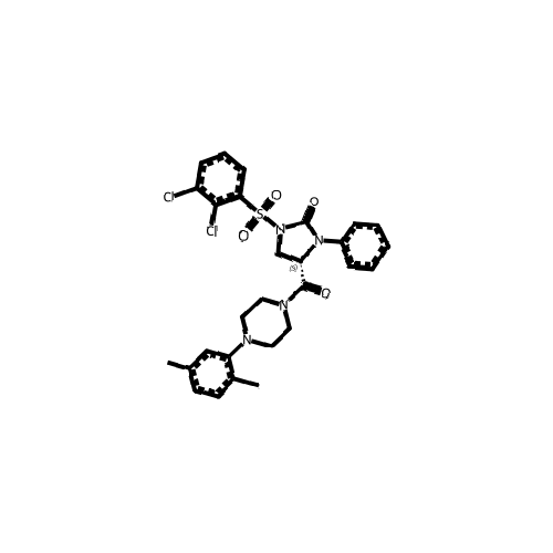 Cc1ccc(C)c(N2CCN(C(=O)[C@@H]3CN(S(=O)(=O)c4cccc(Cl)c4Cl)C(=O)N3c3ccccc3)CC2)c1